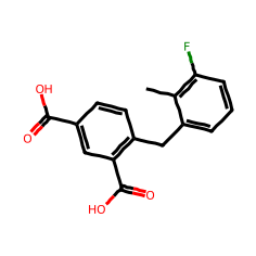 Cc1c(F)cccc1Cc1ccc(C(=O)O)cc1C(=O)O